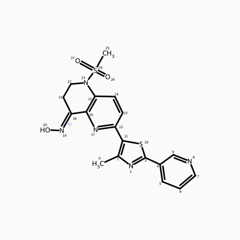 Cc1nc(-c2cccnc2)sc1-c1ccc2c(n1)/C(=N/O)CCN2S(C)(=O)=O